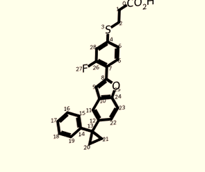 O=C(O)CCSc1ccc(-c2cc3cc(C4(c5ccccc5)CC4)ccc3o2)c(F)c1